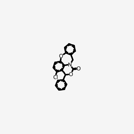 O=C1OC(c2ccccc2)c2c(Cl)ccc3c2N1Cc1ccccc1O3